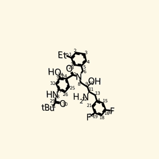 CCc1cccc(CN(C[C@@H](O)[C@@H](N)Cc2cc(F)cc(F)c2)C(=O)c2ccc(NC(=O)C(C)(C)C)cc2O)c1